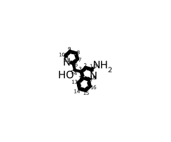 Nc1cc(C(O)c2ccccn2)c2ccccc2n1